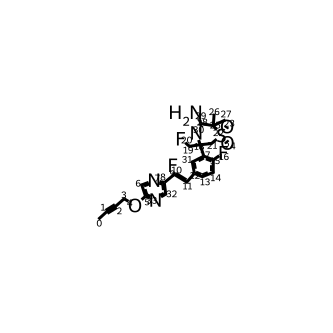 CC#CCOc1cnc(C(F)=Cc2ccc(F)c(C3(CF)CS(=O)(=O)C(C)(C)C(N)=N3)c2)cn1